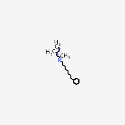 C\C=C/C(C)=C\C(C)=N\CCCCCCCCc1ccccc1